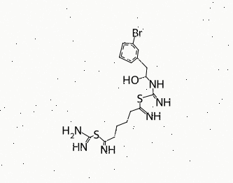 N=C(N)SC(=N)CCCCC(=N)SC(=N)NC(O)Cc1cccc(Br)c1